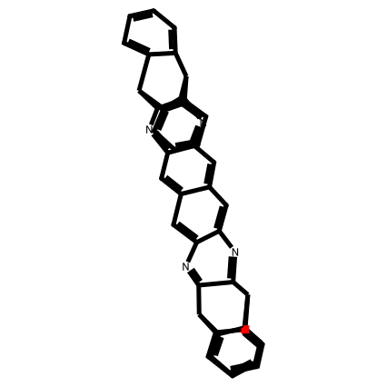 c1ccc2c(c1)C1c3ccccc3C2c2nc3cc4cc5nc6c(nc5cc4cc3nc21)C1c2ccccc2C6c2ccccc21